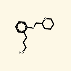 OCCCc1ccccc1OCC1CCCCO1